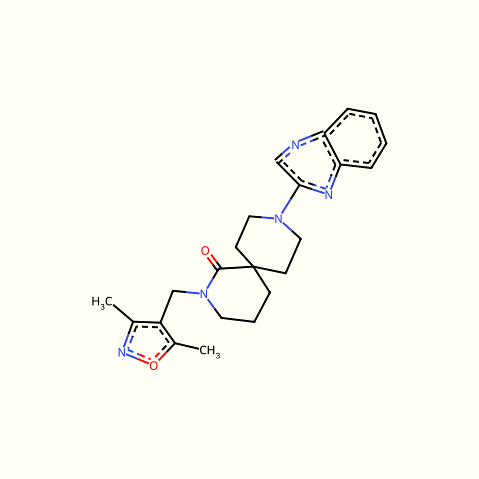 Cc1noc(C)c1CN1CCCC2(CCN(c3cnc4ccccc4n3)CC2)C1=O